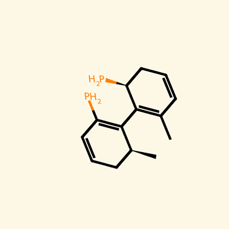 CC1=C(C2=C(P)C=CC[C@@H]2C)[C@@H](P)CC=C1